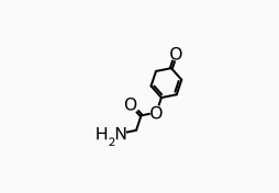 NCC(=O)OC1=CCC(=O)C=C1